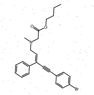 CCCCOC(=O)CN(C)CC=C(C#Cc1ccc(Br)cc1)c1ccccc1